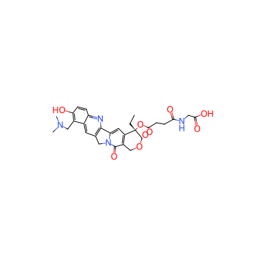 CC[C@@]1(OC(=O)CCC(=O)NCC(=O)O)C(=O)OCc2c1cc1n(c2=O)Cc2cc3c(CN(C)C)c(O)ccc3nc2-1